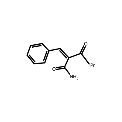 CC(C)C(=O)C(=Cc1ccccc1)C(N)=O